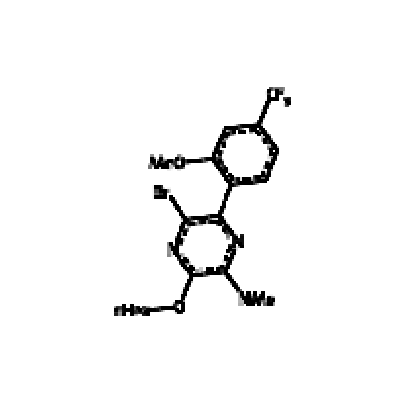 CCCCCCOc1nc(Br)c(-c2ccc(C(F)(F)F)cc2OC)nc1NC